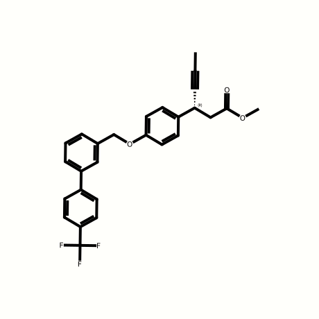 CC#C[C@H](CC(=O)OC)c1ccc(OCc2cccc(-c3ccc(C(F)(F)F)cc3)c2)cc1